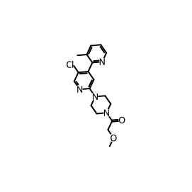 COCC(=O)N1CCN(c2cc(-c3ncccc3C)c(Cl)cn2)CC1